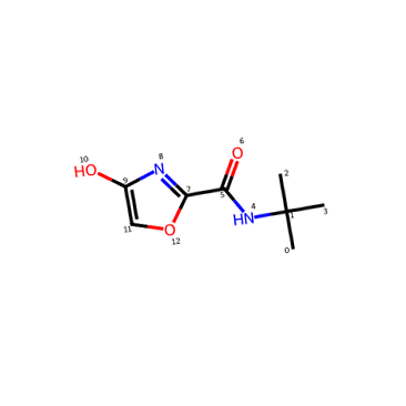 CC(C)(C)NC(=O)c1nc(O)co1